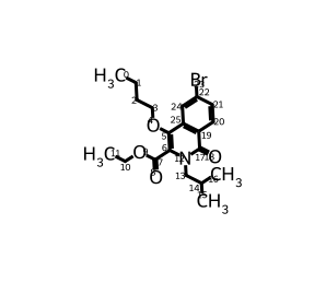 CCCCOc1c(C(=O)OCC)n(CC(C)C)c(=O)c2ccc(Br)cc12